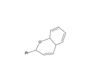 CC(C)C1C=CC2C=CC=CC2O1